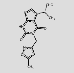 Cc1cc(Cn2c(=O)[nH]c3ncn([C@@H](C)C=O)c3c2=O)no1